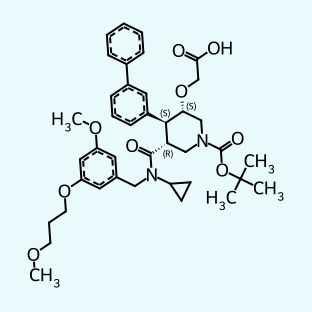 COCCCOc1cc(CN(C(=O)[C@H]2CN(C(=O)OC(C)(C)C)C[C@@H](OCC(=O)O)[C@@H]2c2cccc(-c3ccccc3)c2)C2CC2)cc(OC)c1